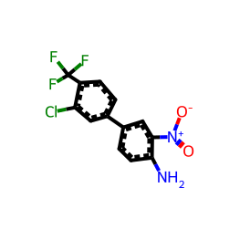 Nc1ccc(-c2ccc(C(F)(F)F)c(Cl)c2)cc1[N+](=O)[O-]